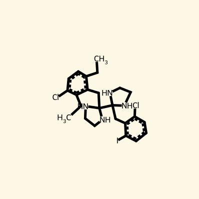 CCc1ccc(Cl)c(CC)c1CC1(C2(Cc3c(Cl)cccc3I)NCCN2)NCCN1